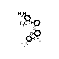 Nc1ccc(Oc2ccccc2Sc2ccccc2Oc2ccc(N)cc2C(F)(F)F)c(C(F)(F)F)c1